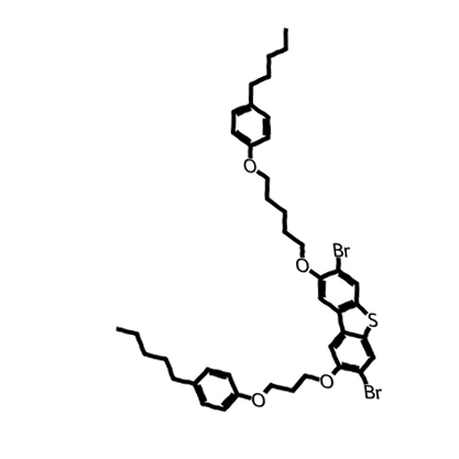 CCCCCc1ccc(OCCCCCOc2cc3c(cc2Br)sc2cc(Br)c(OCCCOc4ccc(CCCCC)cc4)cc23)cc1